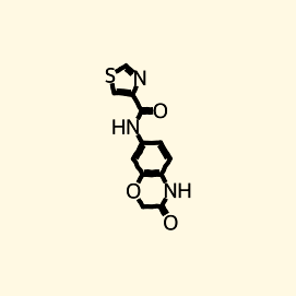 O=C1COc2cc(NC(=O)c3cscn3)ccc2N1